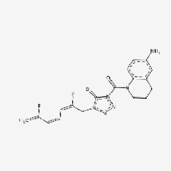 C=C(F)/C=C\C=C(\F)Cn1nnn(C(=O)N2CCCc3cc(N)ccc32)c1=O